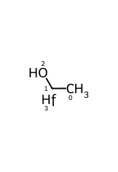 CCO.[Hf]